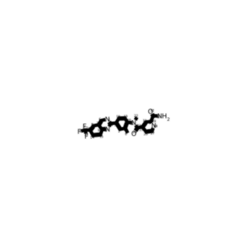 Cc1cc(-c2ncc3cc(C(F)(F)F)ccc3n2)ccc1N(C)C(=O)c1ccnc(C(N)=O)c1